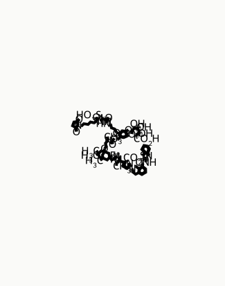 CCC1(Cn2ncc(-c3ccc(N4CCc5cccc(C(=O)Nc6nc7ccccc7s6)c5C4)nc3C(=O)O)c2C)CC2(C)CC(C)(C)CC(OCCN(C)C(=O)OCc3ccc(O[C@@H]4O[C@H](C(=O)O)[C@@H](O)[C@H](O)[C@H]4O)cc3OCCCNC(=O)[C@H](CS(=O)(=O)O)NC(=O)CCCCCN3C(=O)C=CC3=O)(C2)C1